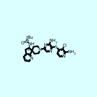 CC(C)(C)[S@+]([O-])N[C@@H]1Cc2cccnc2C12CCN(c1cnc(Sc3ccnc(N)c3Cl)c(N)n1)CC2